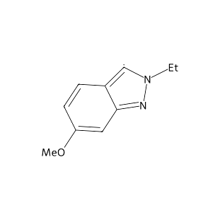 CCn1[c]c2ccc(OC)cc2n1